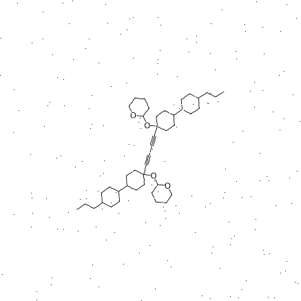 CCCC1CCC(C2CCC(C#CC#CC3(OC4CCCCO4)CCC(C4CCC(CCC)CC4)CC3)(OC3CCCCO3)CC2)CC1